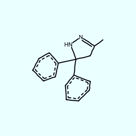 CC1=NNC(c2ccccc2)(c2ccccc2)C1